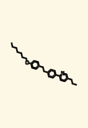 CCCCCCCOc1ccc(CCc2ccc(-c3ccc(CCC)cn3)cc2)cc1